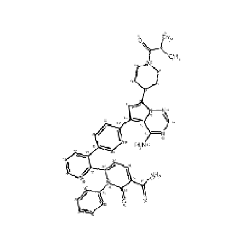 CC(C)C(=O)N1CCC(c2cc(-c3ccc(-c4cccnc4-c4ccc(C(N)=O)c(=O)n4-c4ccccc4)cc3)c3c(N)ncnn23)CC1